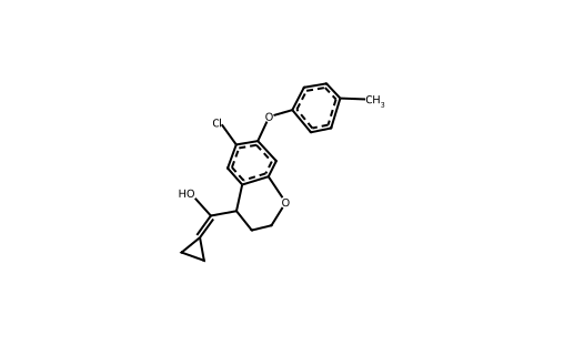 Cc1ccc(Oc2cc3c(cc2Cl)C(C(O)=C2CC2)CCO3)cc1